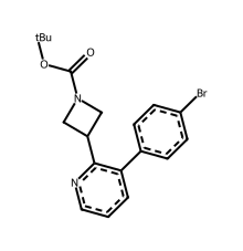 CC(C)(C)OC(=O)N1CC(c2ncccc2-c2ccc(Br)cc2)C1